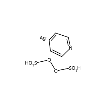 O=S(=O)(O)OOS(=O)(=O)O.[Ag].c1ccncc1